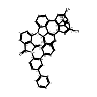 N#Cc1cc(C#N)cc(-c2cccc3c2c2c(-c4cc(C#N)cc(C#N)c4)cccc2n3-c2cccc3c2C(=O)N(c2ccc(-c4ccccc4)cc2-c2ccccc2)C3=O)c1